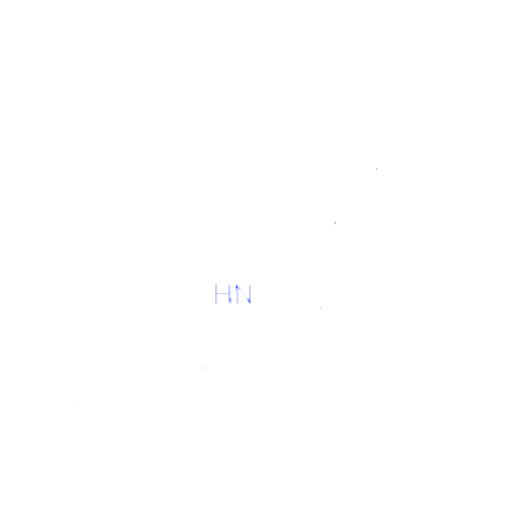 [CH2]CCNCC#CC